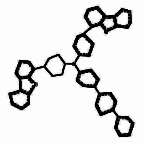 c1ccc(-c2ccc(-c3ccc(N(c4ccc(-c5cccc6c5oc5ccccc56)cc4)C4CCC(c5cccc6c5oc5ccccc56)CC4)cc3)cc2)cc1